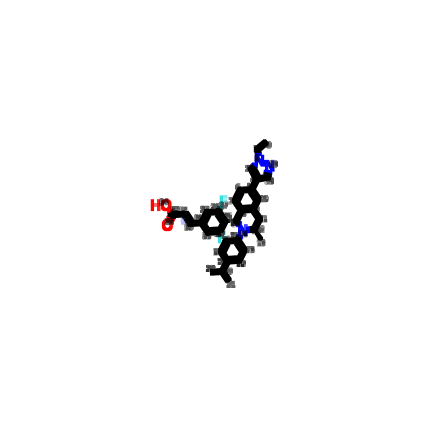 CCn1cc(-c2ccc3c(c2)C[C@@H](C)N(c2ccc(C(C)C)cc2)[C@@H]3c2c(F)cc(/C=C/C(=O)O)cc2F)cn1